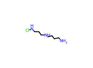 NCCCCNCCCNCl